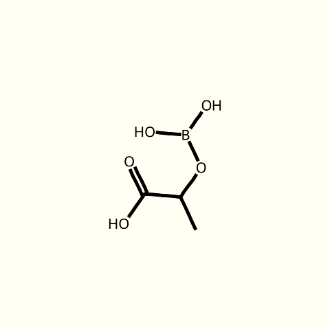 CC(OB(O)O)C(=O)O